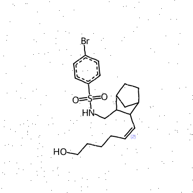 O=S(=O)(NCC1C2CCC(C2)C1/C=C\CCCCO)c1ccc(Br)cc1